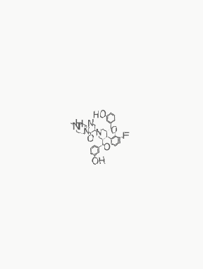 Cc1c(F)cccc1C1[C@@H](C(=O)c2cccc(O)c2)CN([C@H](CN)C(=O)N2CCN(C)CC2)C[C@@H]1C(=O)c1cccc(O)c1